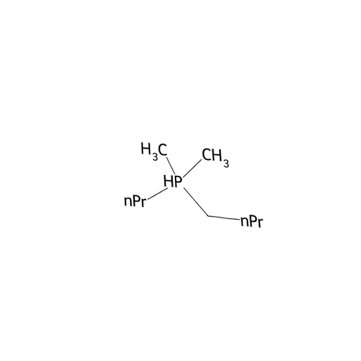 CCCC[PH](C)(C)CCC